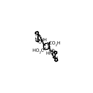 O=C(O)CN1CCN(CCC(=O)NCCN(Cc2ccccn2)Cc2ccccn2)CCN(CC(=O)O)CCN(CCC(=O)NCCN(Cc2ccccn2)Cc2ccccn2)CC1